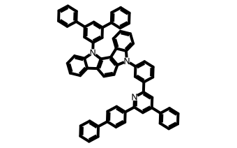 c1ccc(-c2ccc(-c3cc(-c4ccccc4)cc(-c4cccc(-n5c6ccccc6c6c5ccc5c7ccccc7n(-c7cc(-c8ccccc8)cc(-c8ccccc8)c7)c56)c4)n3)cc2)cc1